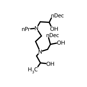 CCCCCCCCCCC(O)CN(CCC)CCN(CC(C)O)CC(O)CCCCCCCCCC